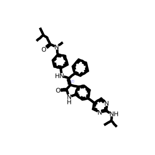 CC(C)CC(=O)N(C)c1ccc(N/C(=C2\C(=O)Nc3cc(-c4cnc(NC(C)C)nc4)ccc32)c2ccccc2)cc1